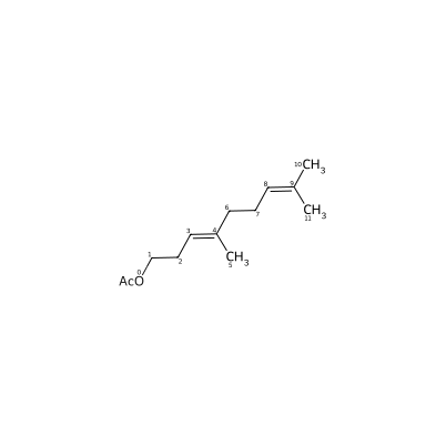 CC(=O)OCC/C=C(\C)CCC=C(C)C